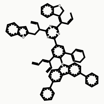 C=C/C=C(\C=C)c1cc(-c2nc(C(/C=C\C)=C3/COc4ccccc43)nc(C(C=C)Cc3cc4ccccc4o3)n2)cc(C2=CCCC=C2)c1-n1c2ccc(-c3ccccc3)cc2c2cc(-c3ccccc3)ccc21